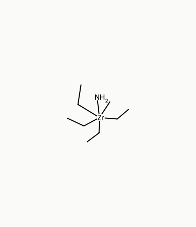 C[CH2][Zr]([CH3])([NH2])([CH2]C)([CH2]C)[CH2]C